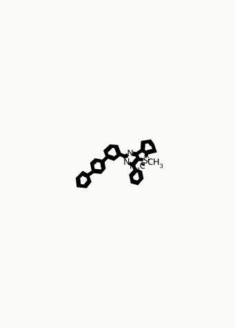 C[Si]1(C)c2ccccc2-c2nc(-c3cccc(-c4ccc(-c5ccccc5)cc4)c3)nc(-c3ccccc3)c21